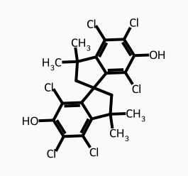 CC1(C)CC2(CC(C)(C)c3c(Cl)c(Cl)c(O)c(Cl)c32)c2c(Cl)c(O)c(Cl)c(Cl)c21